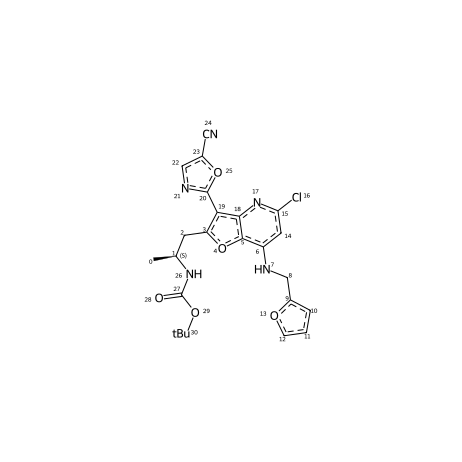 C[C@@H](Cc1oc2c(NCc3ccco3)cc(Cl)nc2c1-c1ncc(C#N)o1)NC(=O)OC(C)(C)C